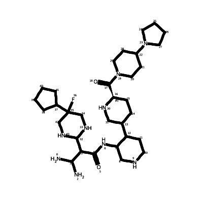 NC(N)C(C(=O)NC1CNCCC1C1CC[C@H](C(=O)N2CCC(N3CCCC3)CC2)NC1)C1NCC(F)(C2CCCC2)CN1